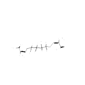 CC(=CCC(F)(F)C(F)(F)C(F)(F)C(F)(F)CC=C(C)C(=O)O)C(=O)O